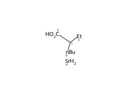 CCCCC(CC)C(=O)O.[SrH2]